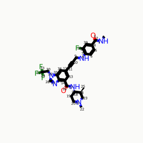 CNC(=O)c1ccc(NCC#Cc2cc(C(=O)N[C@H]3CCN(C)C[C@@H]3C)c3ncn(CC(F)(F)F)c3c2)c(F)c1